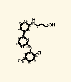 OCCCNc1cc(-c2ccnc(Nc3cc(Cl)ccc3Cl)n2)ccn1